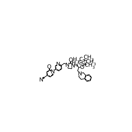 CC(C)(C)[Si](C)(C)OC(CN1CCc2ccccc2C1)CN1CCN(Cc2ccc(-n3ccc(C#N)cc3=O)cn2)C1=O